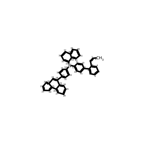 C/C=C\c1ccccc1-c1ccc(N(c2ccc(-c3cc4ccccc4c4ccccc34)cc2)c2cccc3ccccc23)cc1